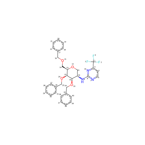 FC(F)(F)c1ccnc(N[C@@H]2CO[C@H](COCc3ccccc3)[C@H](OCc3ccccc3)[C@@H]2OCc2ccccc2)n1